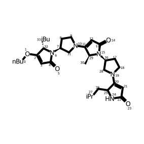 CCCCOC1=CC(=O)N([C@H]2CCN(C3=CC(=O)N([C@H]4CCN(C5=CC(=O)NC5CC(C)C)C4)[C@H]3C)C2)[C@H]1C(C)CC